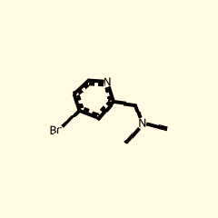 CN(C)Cc1cc(Br)ccn1